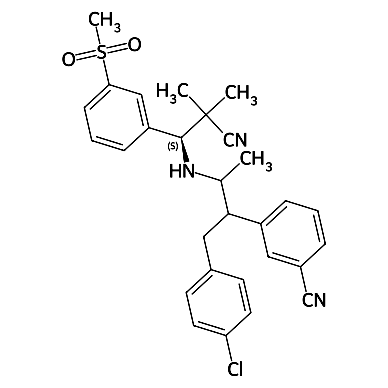 CC(N[C@@H](c1cccc(S(C)(=O)=O)c1)C(C)(C)C#N)C(Cc1ccc(Cl)cc1)c1cccc(C#N)c1